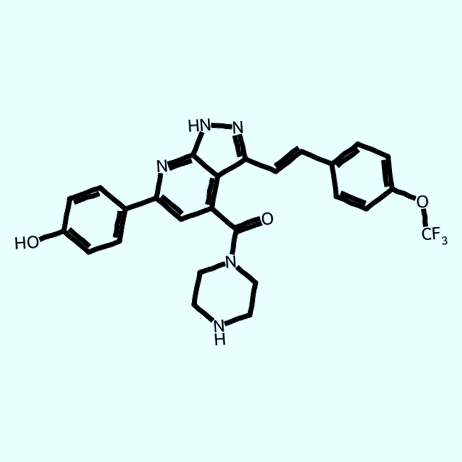 O=C(c1cc(-c2ccc(O)cc2)nc2[nH]nc(C=Cc3ccc(OC(F)(F)F)cc3)c12)N1CCNCC1